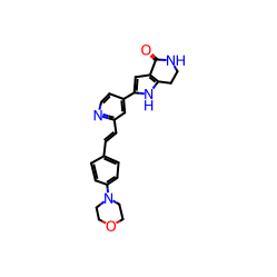 O=C1NCCc2[nH]c(-c3ccnc(C=Cc4ccc(N5CCOCC5)cc4)c3)cc21